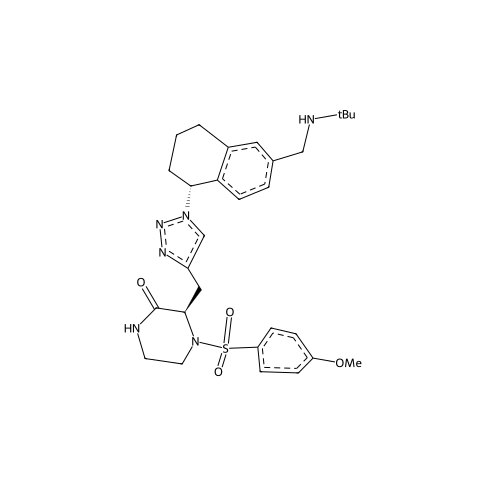 COc1ccc(S(=O)(=O)N2CCNC(=O)[C@H]2Cc2cn([C@@H]3CCCc4cc(CNC(C)(C)C)ccc43)nn2)cc1